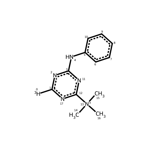 [3H]c1nc(Nc2ccccc2)nc([N+](C)(C)C)n1